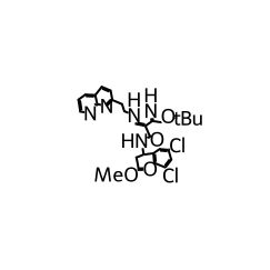 COC(=O)CC(NC(=O)/C(=C/NCCc1ccc2cccnc2n1)C(=N)COC(C)(C)C)c1cc(Cl)cc(Cl)c1